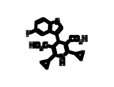 O=C(O)C1=C(C2CC2)NC(C2CC2)=C(C(=O)O)C1c1csc2ccc(F)cc12